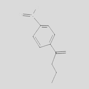 [CH2]CCC(=O)c1ccc([N+](=O)[O-])cc1